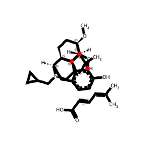 CC(C)=C/C=C/C(=O)O.CO[C@]12CC[C@@]3(C[C@@H]1C(C)(C)O)[C@H]1Cc4ccc(O)c5c4[C@@]3(CCN1CC1CC1)[C@H]2O5